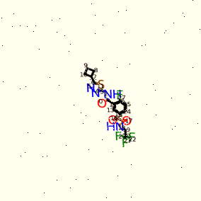 O=C(Nc1nnc(C2CCC2)s1)c1cc(S(=O)(=O)NCC(F)(F)F)ccc1F